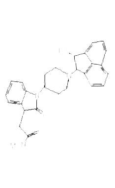 CNC(=O)CC1C(=O)N(C2CCN(C3c4cccc5cccc(c45)[C@@H]3C)CC2)c2ccccc21